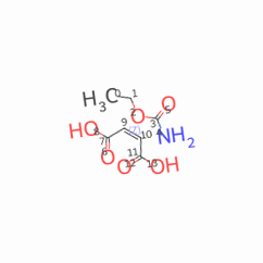 CCOC(N)=O.O=C(O)/C=C\C(=O)O